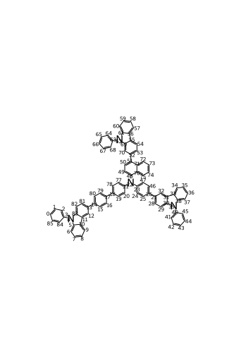 c1ccc(-n2c3ccccc3c3cc(-c4ccc(-c5ccc(N(c6ccc(-c7ccc8c(c7)c7ccccc7n8-c7ccccc7)cc6)c6ccc(-c7ccc8c9ccccc9n(-c9ccccc9)c8c7)c7ccccc67)cc5)cc4)ccc32)cc1